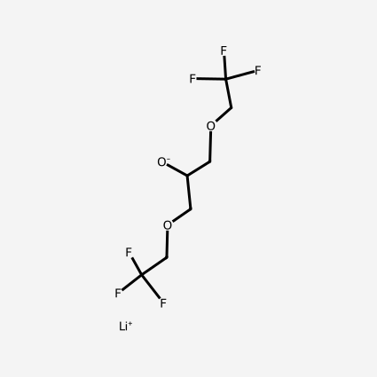 [Li+].[O-]C(COCC(F)(F)F)COCC(F)(F)F